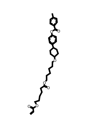 C=CC(=O)OCCCCCC(=O)OCCCCCCOC1CCC(c2ccc(OC(=O)c3ccc(C)cc3)cc2)CC1